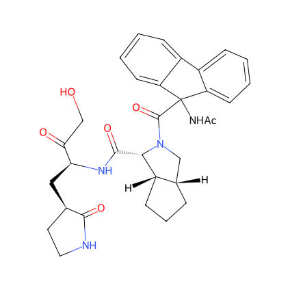 CC(=O)NC1(C(=O)N2C[C@@H]3CCC[C@@H]3[C@@H]2C(=O)N[C@@H](C[C@@H]2CCNC2=O)C(=O)CO)c2ccccc2-c2ccccc21